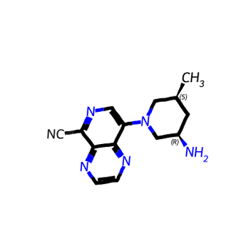 C[C@H]1C[C@@H](N)CN(c2cnc(C#N)c3nccnc23)C1